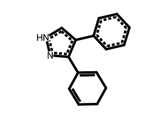 C1=CC(c2n[nH]cc2-c2ccccc2)=CCC1